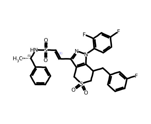 C[C@H](NS(=O)(=O)/C=C/c1nn(-c2ccc(F)cc2F)c2c1CS(=O)(=O)CC2Cc1cccc(F)c1)c1ccccc1